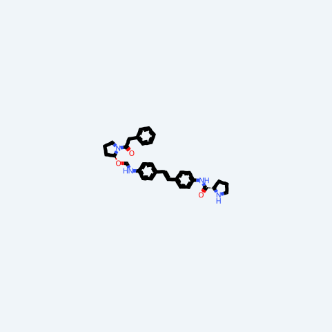 O=C(Nc1ccc(/C=C/c2ccc(NCO[C@@H]3CCCN3C(=O)Cc3ccccc3)cc2)cc1)[C@@H]1CCCN1